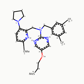 COc1ccc(N2CCCC2)c(CN(Cc2cc(C(F)(F)F)cc(C(F)(F)F)c2)c2ncc(OCCSC)cn2)n1